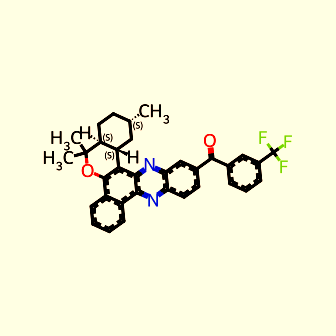 C[C@H]1CC[C@H]2[C@H](C1)c1c(c3ccccc3c3nc4ccc(C(=O)c5cccc(C(F)(F)F)c5)cc4nc13)OC2(C)C